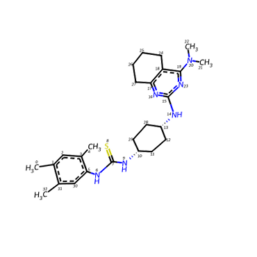 Cc1cc(C)c(NC(=S)N[C@H]2CC[C@@H](Nc3nc4c(c(N(C)C)n3)CCCC4)CC2)cc1C